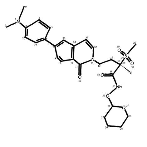 CN(C)c1ccc(-c2ccc3c(=O)n(CC[C@](C)(C(=O)NOC4CCCCO4)S(C)(=O)=O)ccc3c2)cc1